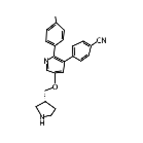 Cc1ccc(-c2ncc(OC[C@@H]3CCNC3)cc2-c2ccc(C#N)cc2)cc1